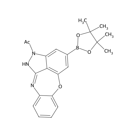 CC(=O)N1NC2=Nc3ccccc3Oc3cc(B4OC(C)(C)C(C)(C)O4)cc1c32